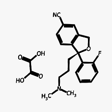 CN(C)CCC[C@]1(c2ccccc2F)OCc2cc(C#N)ccc21.O=C(O)C(=O)O